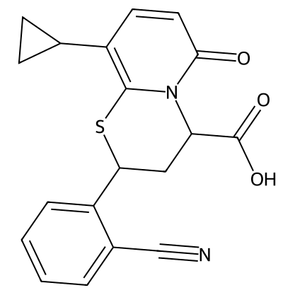 N#Cc1ccccc1C1CC(C(=O)O)n2c(c(C3CC3)ccc2=O)S1